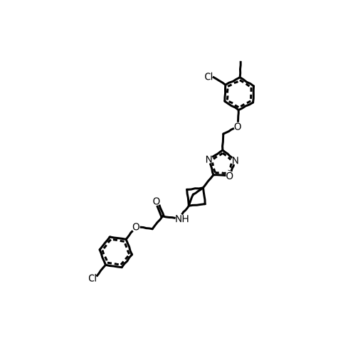 Cc1ccc(OCc2noc(C34CC(NC(=O)COc5ccc(Cl)cc5)(C3)C4)n2)cc1Cl